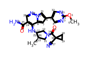 COc1ncc(-c2cc3c(N[C@@H]4CN(C(=O)C5(C#N)CC5)C[C@H]4C)c(C(N)=O)cnn3c2)cn1